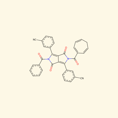 N#Cc1cccc(C2=C3C(=O)N(C(=O)c4ccccc4)C(c4cccc(C#N)c4)=C3C(=O)N2C(=O)C2=CC=CCC=C2)c1